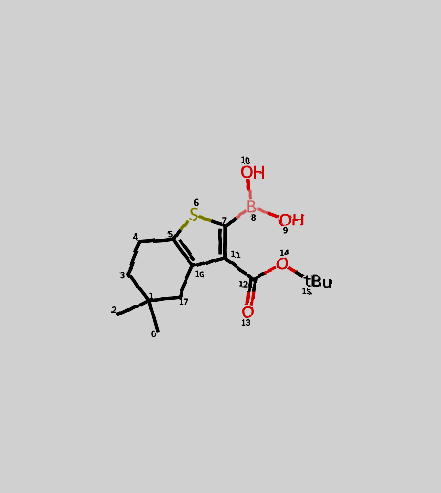 CC1(C)CCc2sc(B(O)O)c(C(=O)OC(C)(C)C)c2C1